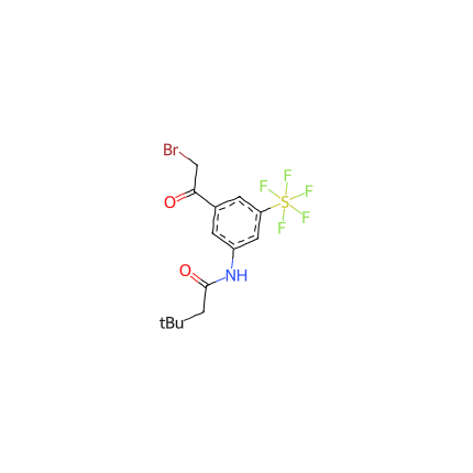 CC(C)(C)CC(=O)Nc1cc(C(=O)CBr)cc(S(F)(F)(F)(F)F)c1